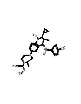 CC(=O)N1c2ccc(N3CCN(C(=O)OC(C)(C)C)C(C)C3)cc2C(Nc2ccc(C#N)cc2)C(C)C1C1CC1